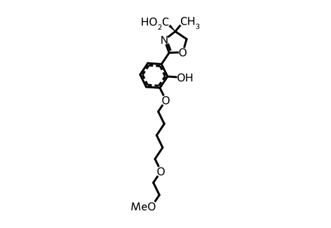 COCCOCCCCCOc1cccc(C2=N[C@@](C)(C(=O)O)CO2)c1O